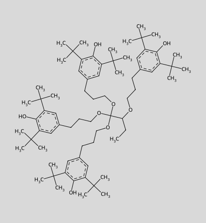 CCC(OCCCc1cc(C(C)(C)C)c(O)c(C(C)(C)C)c1)C(OCCCc1cc(C(C)(C)C)c(O)c(C(C)(C)C)c1)(OCCCc1cc(C(C)(C)C)c(O)c(C(C)(C)C)c1)OCCCc1cc(C(C)(C)C)c(O)c(C(C)(C)C)c1